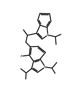 CC(C)c1cn(C(C)C)c2ccc(CC(C)c3cn(C(C)C)c4ccccc34)c(F)c12